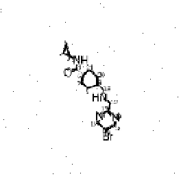 O=C(NC1CC1)[C@H]1CC[C@H](CNCc2ncc(Br)cn2)CC1